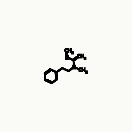 C=NC(=C)N(C)CCc1ccccc1